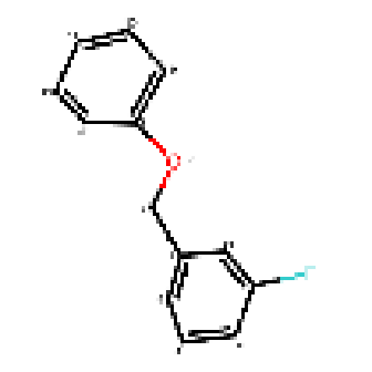 Fc1cccc(COc2cc[c]cc2)c1